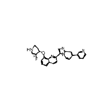 F[C@H]1CNCCC1Oc1cccc2ccc(-c3cnc4cc(-c5cccnc5)ccn34)nc12